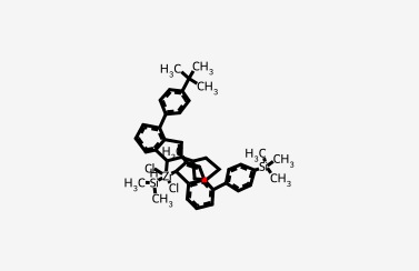 CC1=Cc2c(-c3ccc([Si](C)(C)C)cc3)cccc2[CH]1[Zr]([Cl])([Cl])([CH]1C(C2CCCC2)=Cc2c(-c3ccc(C(C)(C)C)cc3)cccc21)[SiH](C)C